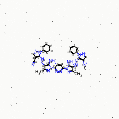 [C-]#[N+]c1cnn(-c2ccccc2)c1N=Nc1c(C)nn(-c2ccc(-n3nc(C)c(N=Nc4c(C#N)cnn4-c4ccccc4)c3N)nn2)c1N